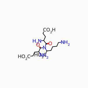 NCCCCC(C(=O)O)N(C(=O)C(N)CCC(=O)O)C(=O)C(N)CCC(=O)O